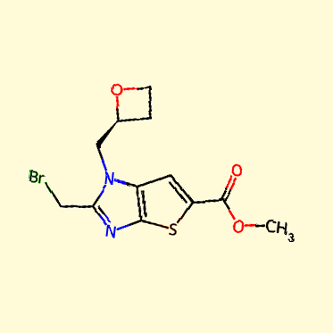 COC(=O)c1cc2c(nc(CBr)n2C[C@@H]2CCO2)s1